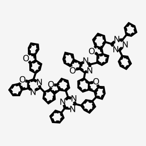 c1ccc(-c2nc(-c3cccc(-c4cccc5oc6c(-c7nc(-c8cccc9c8oc8cccc(-c%10nc(-c%11ccccc%11)nc(-c%11ccccc%11)n%10)c89)nc8c7oc7ccccc78)cccc6c45)c3)nc(-c3cccc4oc5c(-c6nc(-c7ccc8c(c7)oc7ccccc78)c7oc8ccccc8c7n6)cccc5c34)n2)cc1